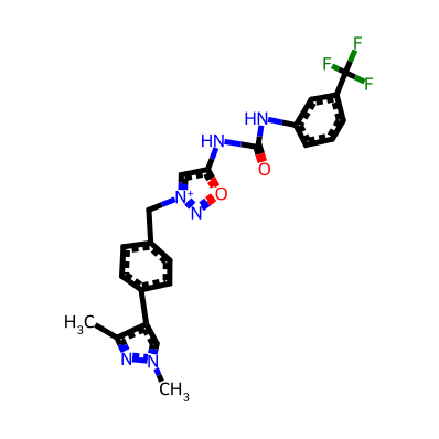 Cc1nn(C)cc1-c1ccc(C[n+]2cc(NC(=O)Nc3cccc(C(F)(F)F)c3)on2)cc1